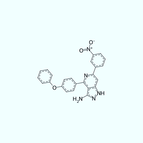 Nc1n[nH]c2cc(-c3cccc([N+](=O)[O-])c3)nc(-c3ccc(Oc4ccccc4)cc3)c12